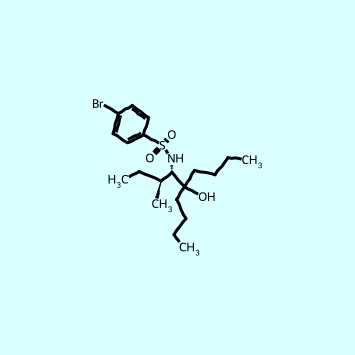 CCCCC(O)(CCCC)[C@@H](NS(=O)(=O)c1ccc(Br)cc1)[C@@H](C)CC